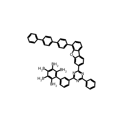 Bc1c(B)c(B)c(-c2cccc(-c3nc(-c4ccccc4)nc(-c4ccc5c(c4)oc4c(-c6ccc(-c7ccc(-c8ccccc8)cc7)cc6)cccc45)n3)c2)c(B)c1B